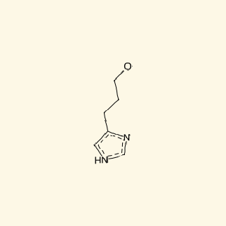 [O]CCCc1c[nH]cn1